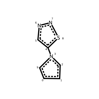 c1ccn(-c2cnns2)c1